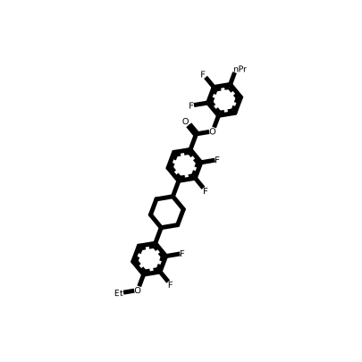 CCCc1ccc(OC(=O)c2ccc(C3CCC(c4ccc(OCC)c(F)c4F)CC3)c(F)c2F)c(F)c1F